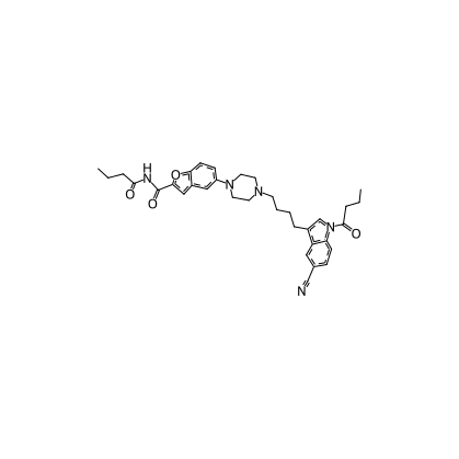 CCCC(=O)NC(=O)c1cc2cc(N3CCN(CCCCc4cn(C(=O)CCC)c5ccc(C#N)cc45)CC3)ccc2o1